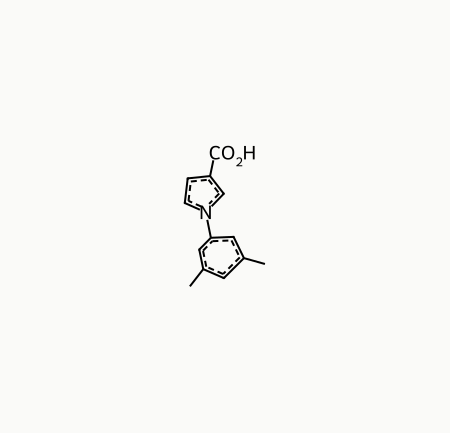 Cc1cc(C)cc(-n2ccc(C(=O)O)c2)c1